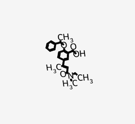 CCN(CC)C(=O)C=C(C)c1ccc(OC(C)c2ccccc2)c(C(=O)O)c1